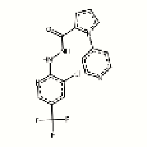 O=C(NNc1ncc(C(F)(F)F)cc1Cl)c1cccn1-c1ccncc1